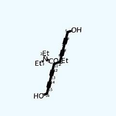 CCOC(=O)N(CC)CC.OCC#CC#CCCC#CC#CCO